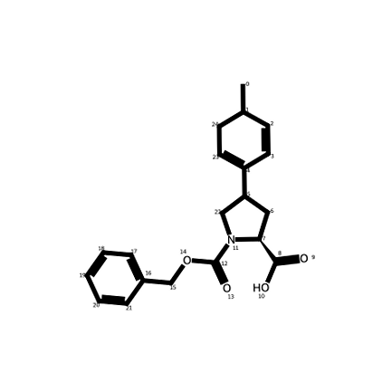 CC1C=CC(C2C[C@@H](C(=O)O)N(C(=O)OCc3ccccc3)C2)=CC1